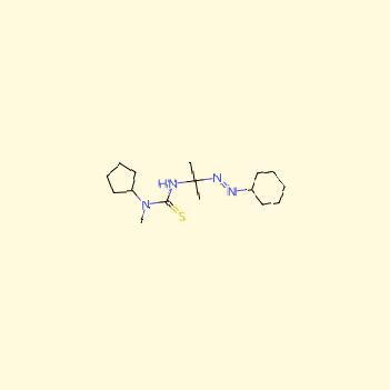 CN(C(=S)NC(C)(C)N=NC1CCCCC1)C1CCCC1